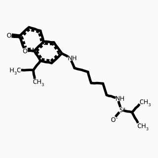 CC(C)c1cc(NCCCCCN[S+]([O-])C(C)C)cc2ccc(=O)oc12